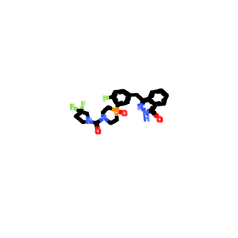 O=C(N1CCP(=O)(c2cc(Cc3n[nH]c(=O)c4ccccc34)ccc2F)CC1)N1CCC(F)(F)C1